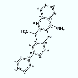 CC(c1cc(N)c2ccccc2n1)c1cc(-c2ccncc2)ccc1F